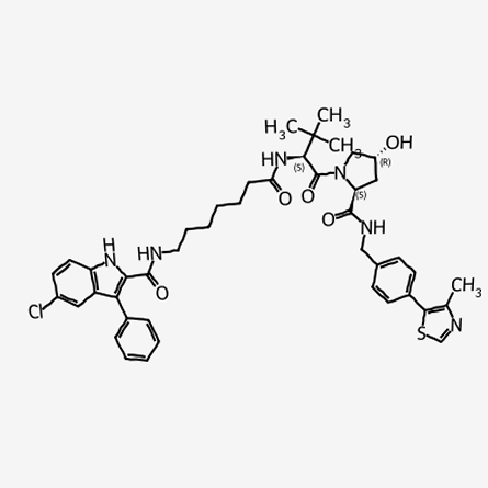 Cc1ncsc1-c1ccc(CNC(=O)[C@@H]2C[C@@H](O)CN2C(=O)[C@@H](NC(=O)CCCCCCNC(=O)c2[nH]c3ccc(Cl)cc3c2-c2ccccc2)C(C)(C)C)cc1